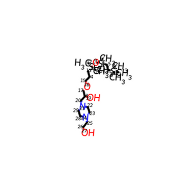 C[Si](C)(C)CC[Si](C)(C)O[Si](C)(C)CCCOCC(O)CN1CCN(CCO)CC1